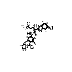 COC(=O)CCC(C(=O)Nc1ccc(C(=O)N2CCCC2)c(C)c1)c1nc2cc(Cl)ccc2[nH]1